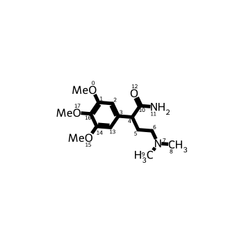 COc1cc(C(CCN(C)C)C(N)=O)cc(OC)c1OC